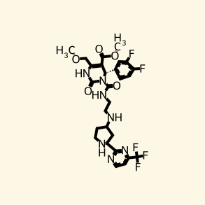 COCC1=C(C(=O)OC)[C@H](c2ccc(F)c(F)c2)N(C(=O)NCCNC2CCNC(c3nccc(C(F)(F)F)n3)C2)C(=O)N1